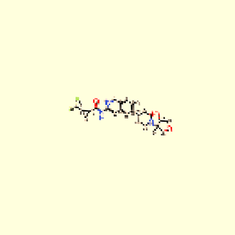 Cc1cc2cnc(NC(=O)C3CC3C(F)F)cc2cc1C1CCN(C2(C)COCC2O)CC1